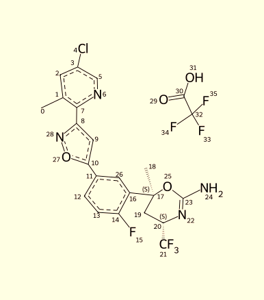 Cc1cc(Cl)cnc1-c1cc(-c2ccc(F)c([C@]3(C)C[C@@H](C(F)(F)F)N=C(N)O3)c2)on1.O=C(O)C(F)(F)F